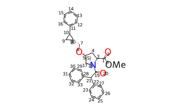 COC(=O)C1C[C@H](OC[C@@H]2CC2c2ccccc2)CN1C(=O)C(c1ccccc1)c1ccccc1